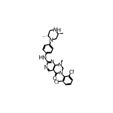 C[C@@H]1CN[C@@H](C)CN1c1ccc(Nc2ncc3c(n2)N(C)CN(c2c(Cl)cccc2Cl)C3=O)cc1